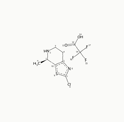 C[C@H]1NCCc2nc(Cl)sc21.O=C(O)C(F)(F)F